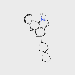 Cc1ccccc1-c1c2ccc(C3CCC4(CCCCC4)CC3)cc2cc[n+]1C